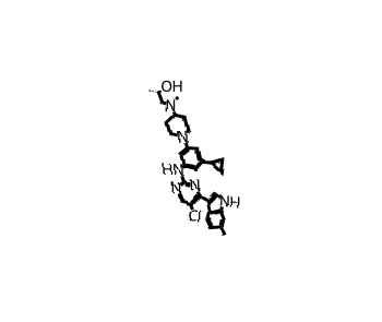 Cc1ccc2c(-c3nc(Nc4cc(C5CC5)cc(N5CCC(N(C)C[C@H](C)O)CC5)c4)ncc3Cl)c[nH]c2c1